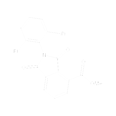 CCc1cccc(C(C)C)c1N1C(=O)c2cccc(C(=O)OC)c2C1=O